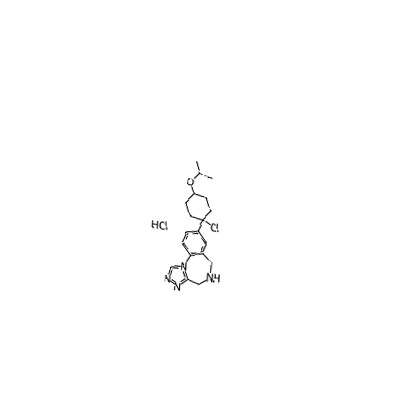 CC(C)OC1CCC(Cl)(c2ccc3c(c2)CNCc2nncn2-3)CC1.Cl